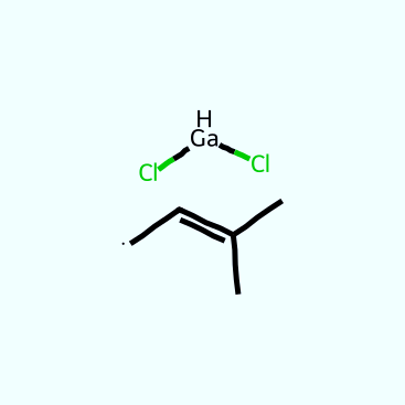 [CH2]C=C(C)C.[Cl][GaH][Cl]